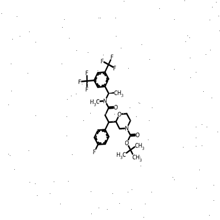 C[C@H](c1cc(C(F)(F)F)cc(C(F)(F)F)c1)N(C)C(=O)CC(c1ccc(F)cc1)C1CN(C(=O)OC(C)(C)C)CCO1